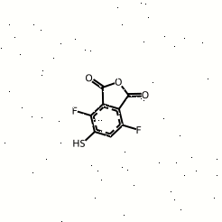 O=C1OC(=O)c2c(F)c(S)cc(F)c21